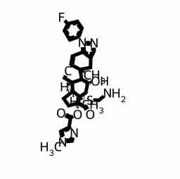 Cn1cnc(C(=O)O[C@]2(C(=O)SCN)CC[C@H]3[C@@H]4CCC5=Cc6c(cnn6-c6ccc(F)cc6)C[C@]5(C)C4[C@@H](O)C[C@@]32C)c1